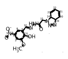 COc1cc([N+](=O)[O-])cc(/C=N/NC(=O)CN2N=NC3C=CC=CC32)c1O